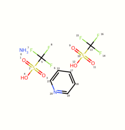 N.O=S(=O)(O)C(F)(F)F.O=S(=O)(O)C(F)(F)F.c1ccncc1